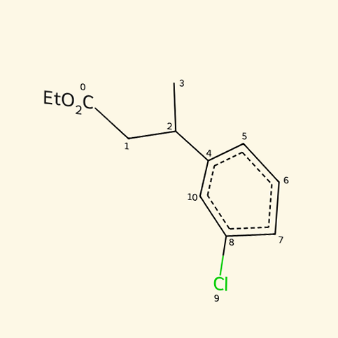 CCOC(=O)CC(C)c1cccc(Cl)c1